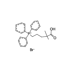 CC(C)(CCC[P+](c1ccccc1)(c1ccccc1)c1ccccc1)C(=O)O.[Br-]